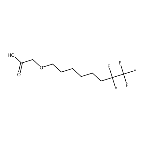 O=C(O)COCCCCCCC(F)(F)C(F)(F)F